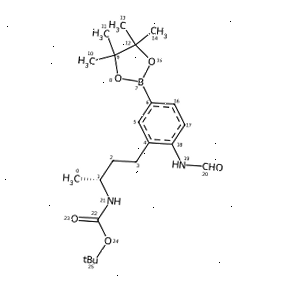 C[C@H](CCc1cc(B2OC(C)(C)C(C)(C)O2)ccc1NC=O)NC(=O)OC(C)(C)C